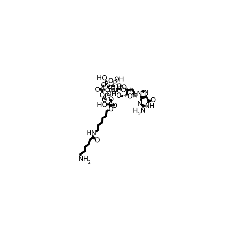 NCCCCCC(=O)NCCCCCCOP(=O)(O)OP(=O)(O)OP(=O)(O)OP(=O)(O)OP(=O)(O)OP(=O)(O)OC[C@H]1O[C@@H](n2cnc3c(=O)[nH]c(N)nc32)CC1O